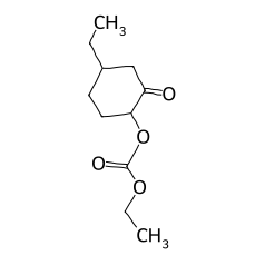 CCOC(=O)OC1CCC(CC)CC1=O